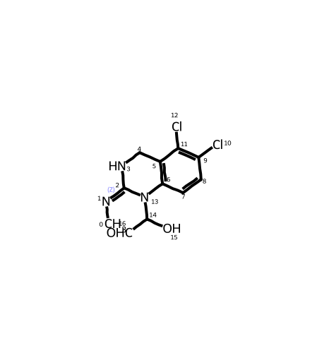 C/N=C1/NCc2c(ccc(Cl)c2Cl)N1C(O)C=O